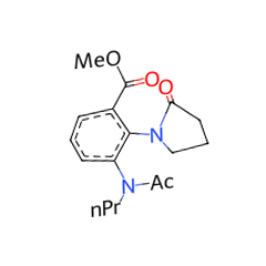 CCCN(C(C)=O)c1cccc(C(=O)OC)c1N1CCCC1=O